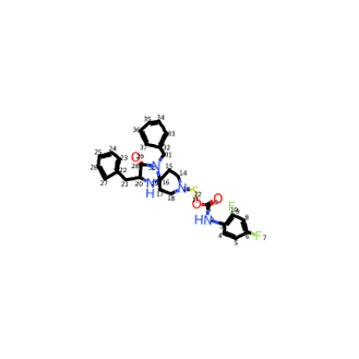 O=C(Nc1ccc(F)cc1F)OSN1CCC2(CC1)NC(Cc1ccccc1)C(=O)N2Cc1ccccc1